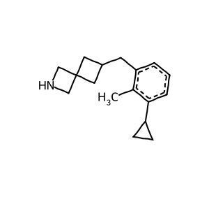 Cc1c(CC2CC3(CNC3)C2)cccc1C1CC1